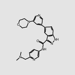 CN(C)Cc1ccc(NC(=O)c2n[nH]c3ccc(-c4cncc(N5CCOCC5)c4)cc23)cn1